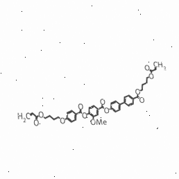 C=CC(=O)OCCCCOC(=O)c1ccc(-c2ccc(OC(=O)c3ccc(OC(=O)c4ccc(OCCCCOC(=O)C=C)cc4)c(OC)c3)cc2)cc1